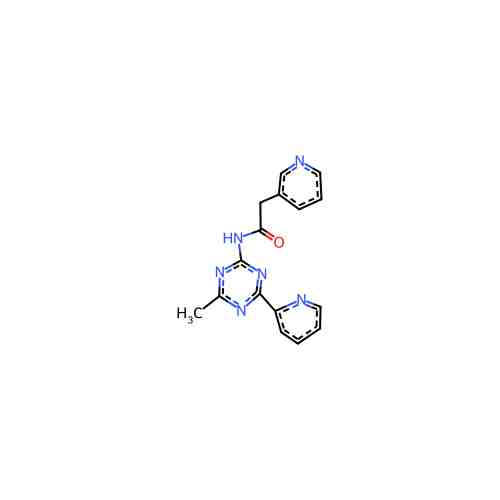 Cc1nc(NC(=O)Cc2cccnc2)nc(-c2ccccn2)n1